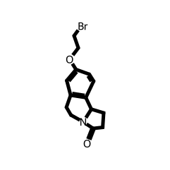 O=C1CCC2c3ccc(OCCBr)cc3CCN12